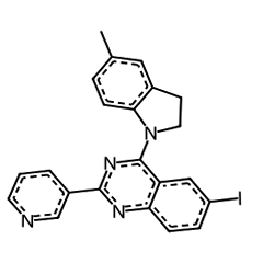 Cc1ccc2c(c1)CCN2c1nc(-c2cccnc2)nc2ccc(I)cc12